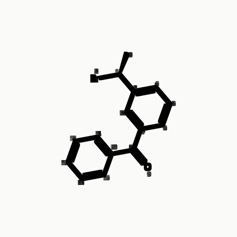 C[C@H](Br)c1cccc(C(=O)c2ccccc2)c1